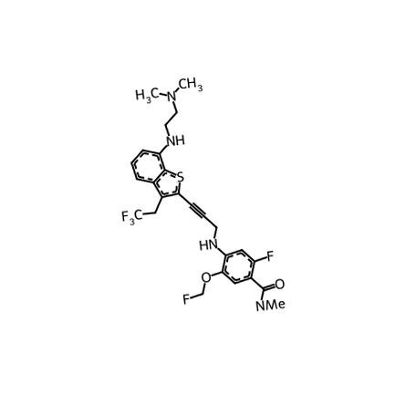 CNC(=O)c1cc(OCF)c(NCC#Cc2sc3c(NCCN(C)C)cccc3c2CC(F)(F)F)cc1F